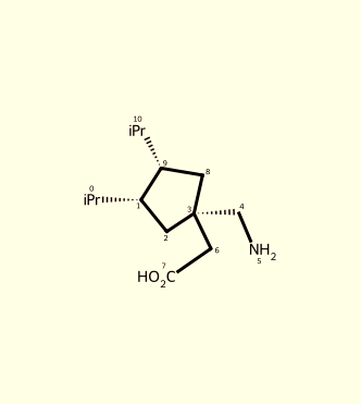 CC(C)[C@H]1C[C@](CN)(CC(=O)O)C[C@H]1C(C)C